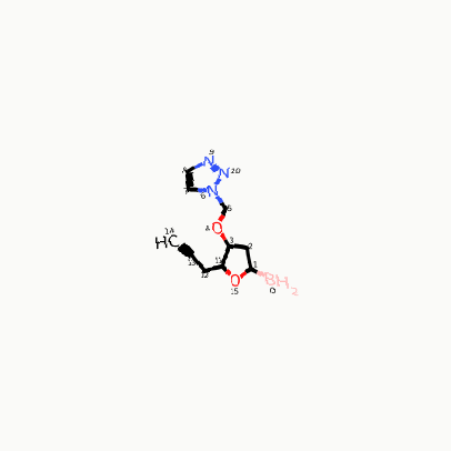 BC1CC(OCn2ccnn2)C(CC#C)O1